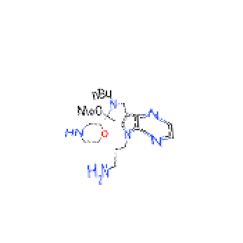 CCCCN(Cc1cn(CCCN)c2nccnc12)C(C)(OC)[C@H]1CNCCO1